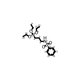 CCO[Si](CCCNS(=O)(=O)c1ccccc1)(OCC)OCC